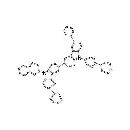 c1ccc(-c2ccc(-n3c4ccc(-c5ccccc5)cc4c4cc(-c5ccc6c(c5)c5cc(-c7ccccc7)ccc5n6-c5ccc6ccccc6c5)ccc43)cc2)cc1